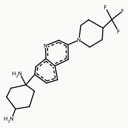 NC1CCC(N)(c2ccc3cc(N4CCC(C(F)(F)F)CC4)cnc3c2)CC1